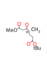 COC(=O)CC(=O)[C@H](C)CCC(=O)OC(C)(C)C